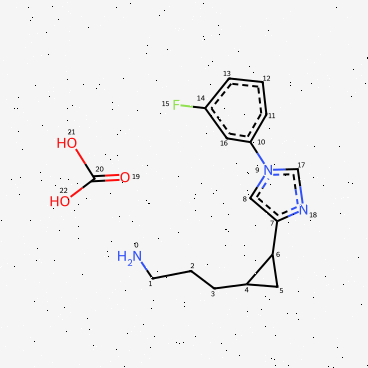 NCCCC1CC1c1cn(-c2cccc(F)c2)cn1.O=C(O)O